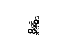 O=C1C=C(OC(=O)c2ccc(Cl)cc2[N+](=O)[O-])C2CCCCC2C1